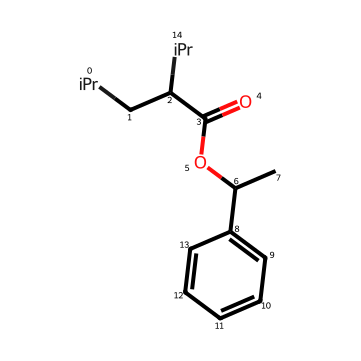 CC(C)CC(C(=O)OC(C)c1ccccc1)C(C)C